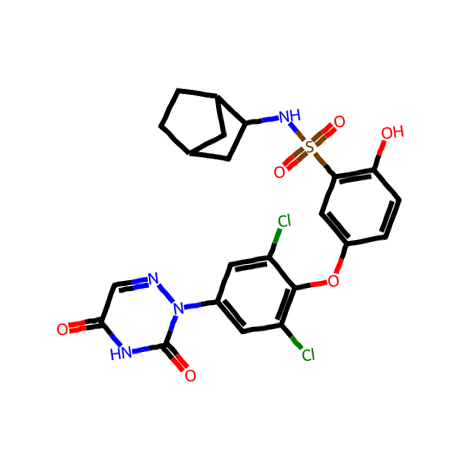 O=c1cnn(-c2cc(Cl)c(Oc3ccc(O)c(S(=O)(=O)NC4CC5CCC4C5)c3)c(Cl)c2)c(=O)[nH]1